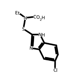 CCN(Sc1nc2cc(Cl)ccc2[nH]1)C(=O)O